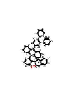 c1ccc(-c2ccc(-c3c4ccccc4c(-c4cccc5oc6cc7ccccc7cc6c45)c4ccccc34)cc2-c2ccccc2)cc1